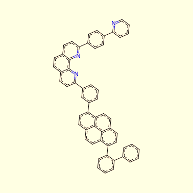 c1ccc(-c2ccccc2-c2ccc3ccc4c(-c5cccc(-c6ccc7ccc8ccc(-c9ccc(-c%10ccccn%10)cc9)nc8c7n6)c5)ccc5ccc2c3c54)cc1